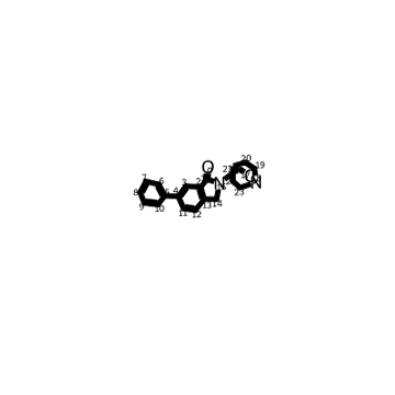 O=C1c2cc(-c3ccccc3)ccc2CN1C1CN2CCC1CC2